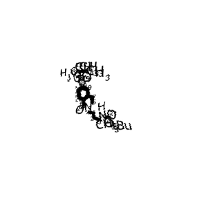 CC(CCCn1ccc2cc(B3OC(C)(C)C(C)(C)O3)ccc2c1=O)NC(=O)OC(C)(C)C